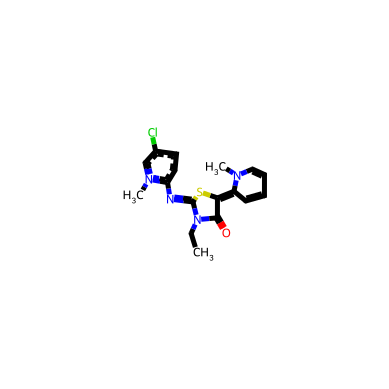 CCN1C(=O)/C(=C2\C=CC=CN2C)S/C1=N\c1ccc(Cl)c[n+]1C